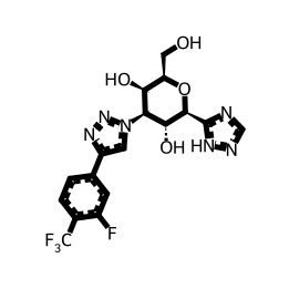 OC[C@H]1O[C@@H](c2ncn[nH]2)[C@H](O)[C@@H](n2cc(-c3ccc(C(F)(F)F)c(F)c3)nn2)[C@H]1O